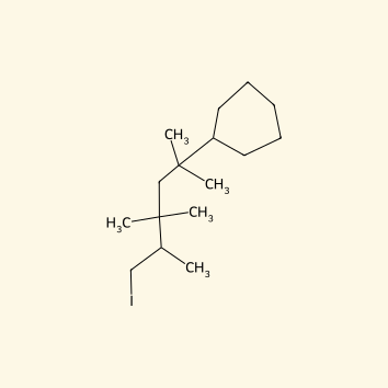 CC(CI)C(C)(C)CC(C)(C)C1CCCCC1